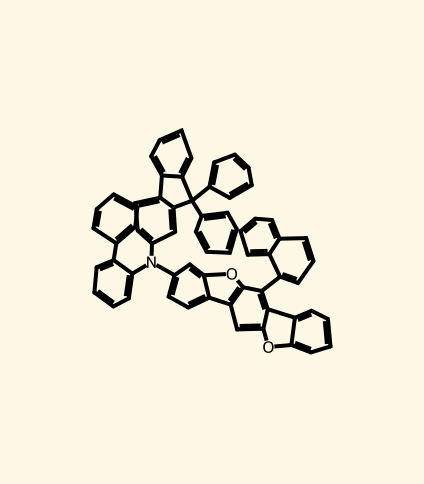 c1ccc(-c2ccccc2N(c2ccc3c(c2)C(c2ccccc2)(c2ccccc2)c2ccccc2-3)c2ccc3c(c2)oc2c(-c4cccc5ccccc45)c4c(cc23)oc2ccccc24)cc1